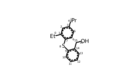 CCc1cc(C(C)C)ccc1Sc1ccccc1CO